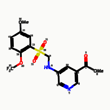 COC(=O)c1cncc(NCS(=O)(=O)c2cc(OC)ccc2OC(F)(F)F)c1